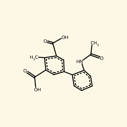 CC(=O)Nc1ccccc1-c1cc(C(=O)O)c(C)c(C(=O)O)c1